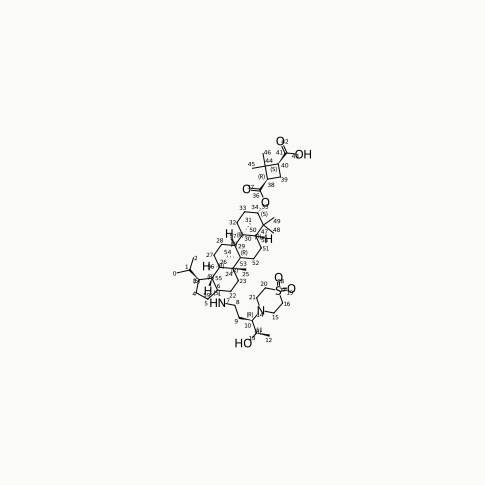 CC(C)[C@@H]1CC[C@]2(NCC[C@H]([C@@H](C)O)N3CCS(=O)(=O)CC3)CC[C@]3(C)[C@H](CC[C@@H]4[C@@]5(C)CC[C@H](OC(=O)[C@@H]6C[C@H](C(=O)O)C6(C)C)C(C)(C)[C@@H]5CC[C@]43C)[C@@H]12